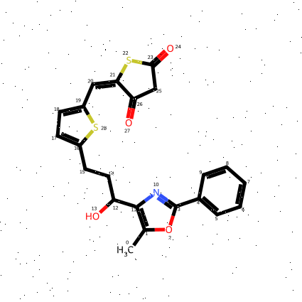 Cc1oc(-c2ccccc2)nc1C(O)CCc1ccc(C=C2SC(=O)CC2=O)s1